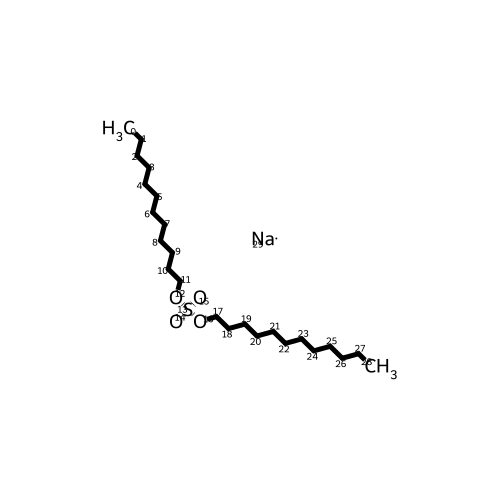 CCCCCCCCCCCCOS(=O)(=O)OCCCCCCCCCCCC.[Na]